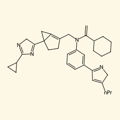 C=C(C1CCCCC1)N(CC1=C2CC2(C2=NC(C3CC3)=NC2)CC1)c1cccc(C2=NCC(CCC)=C2)c1